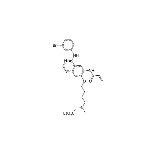 C=CC(=O)Nc1cc2c(Nc3cccc(Br)c3)ncnc2cc1OCCCCN(C)CC(=O)OCC